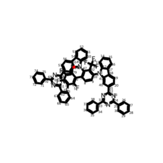 Fc1c(F)c(F)c(-c2ccc(-n3c4ccccc4c4ccc(-c5nc(-c6ccccc6)nc(-c6ccccc6)n5)cc43)c(C(F)(F)F)c2-n2c3ccccc3c3ccc(-c4nc(-c5ccccc5)nc(-c5ccccc5)n4)cc32)c(F)c1F